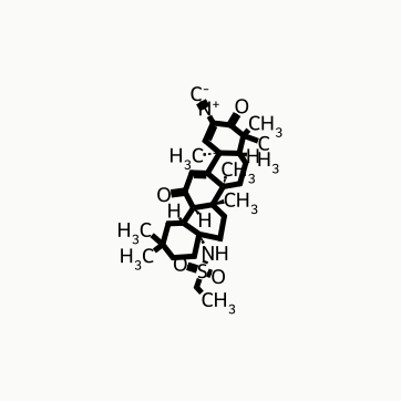 [C-]#[N+]C1=C[C@]2(C)C3=CC(=O)[C@@H]4[C@@H]5CC(C)(C)CC[C@]5(NS(=O)(=O)CC)CC[C@@]4(C)[C@]3(C)CC[C@H]2C(C)(C)C1=O